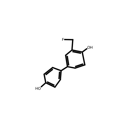 Oc1ccc(-c2ccc(O)c(CF)c2)cc1